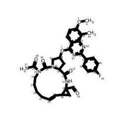 COc1ccc2c(OC3CC4C(=O)NC5([C]=O)CC5/C=C/CCCCN(C(N)=O)C(=O)N4C3)nc(-c3ccc(F)cc3)nc2c1C